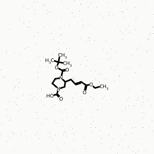 CCOC(=O)C=CCC1CN(C(=O)O)CCN1C(=O)OC(C)(C)C